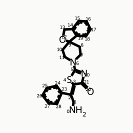 NC/C(=C1/SC(N2CCC3(CC2)OCc2ccccc23)=NC1=O)c1ccccc1